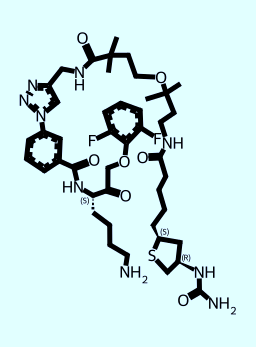 CC(C)(CCNC(=O)CCCC[C@H]1C[C@@H](NC(N)=O)CS1)OCCC(C)(C)C(=O)NCc1cn(-c2cccc(C(=O)N[C@@H](CCCCN)C(=O)COc3c(F)cccc3F)c2)nn1